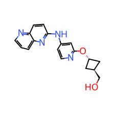 OC[C@H]1C[C@H](Oc2cc(Nc3ccc4ncccc4n3)ccn2)C1